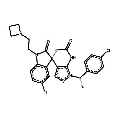 C[C@@H](c1ccc(Cl)cc1)n1nnc2c1NC(=O)C[C@]21C(=O)N(CCN2CCC2)c2ccc(Cl)cc21